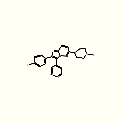 CCN1CCN(c2ccc3nc(-c4ccc(F)cc4)c(-c4ccncc4)n3n2)CC1